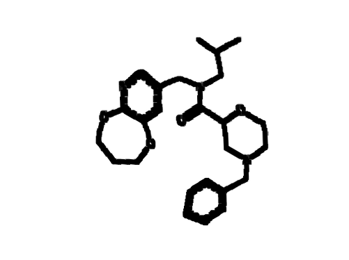 CC(C)CN(Cc1cnc2c(c1)OCCCO2)C(=O)C1CN(Cc2ccccc2)CCO1